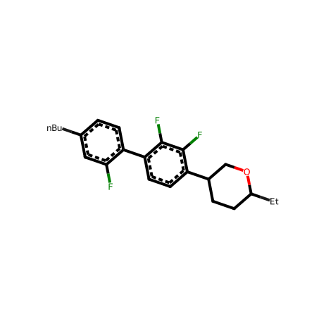 CCCCc1ccc(-c2ccc(C3CCC(CC)OC3)c(F)c2F)c(F)c1